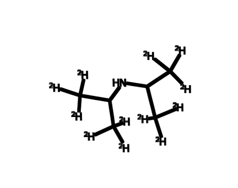 [2H]C([2H])([2H])C(NC(C([2H])([2H])[2H])C([2H])([2H])[2H])C([2H])([2H])[2H]